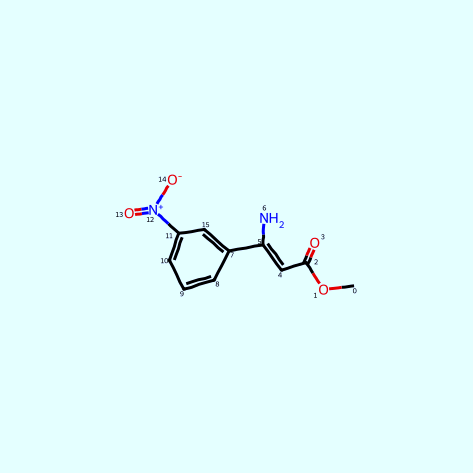 COC(=O)C=C(N)c1cccc([N+](=O)[O-])c1